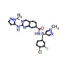 Cn1cc([C@@H](NC(=O)c2ccc3cnc(Nc4ccnn4C)nc3c2)c2ccc(Cl)c(F)c2)cn1